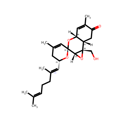 CC(C)=CCC/C(C)=C/[C@@H]1CC(C)=C[C@]2(O1)O[C@@H]1C=C(C)C(=O)C[C@@H]1[C@]1(CO)O[C@H]21